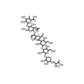 CC(=O)NC1C(OC(C=O)C(OC(C=O)OC2C(O)C(CO)OC(OC3C(O)C(CO)OC(OC4COC(OCC(N)C(=O)O)C(O)C4O)C3O)C2O)C(=O)O)OC(CO)C(OC2OC(C(=O)O)C(C)C(O)C2O)C1O